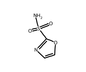 NS(=O)(=O)c1ncco1